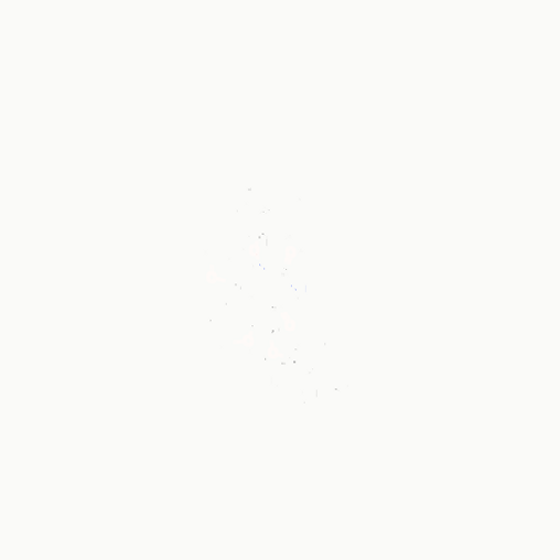 COCC1CCOC1(CO[Si](C)(C)C(C)(C)C)c1cn(O[Si](C)(C)C(C)(C)C)c(=O)[nH]c1=O